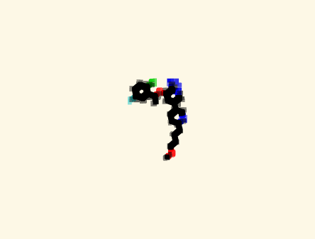 COCCCCC1CC=C(c2cnc(N)c(OC(C)c3cc(F)ccc3Cl)c2)C=N1